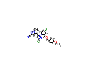 COc1ccc(COCc2cc(F)ccc2-n2nc(Cl)cc2Cc2cc(C#N)nn2C)cc1